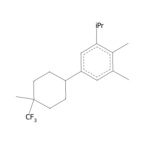 Cc1cc(C2CCC(C)(C(F)(F)F)CC2)cc(C(C)C)c1C